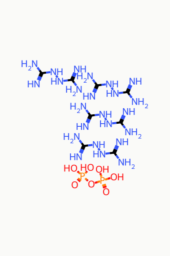 N=C(N)NNC(=N)N.N=C(N)NNC(=N)N.N=C(N)NNC(=N)N.N=C(N)NNC(=N)N.O=P(O)(O)OP(=O)(O)O